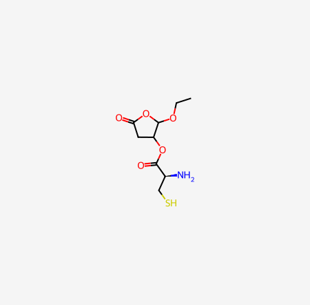 CCOC1OC(=O)CC1OC(=O)[C@@H](N)CS